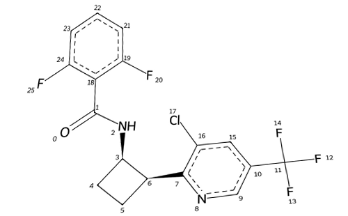 O=C(N[C@@H]1CC[C@@H]1c1ncc(C(F)(F)F)cc1Cl)c1c(F)cccc1F